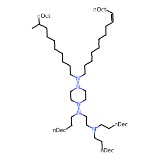 CCCCCCCC/C=C\CCCCCCCCN(CCCCCCCCC(C)CCCCCCCC)N1CCN(N(CCCCCCCCCCCC)CCN(CCCCCCCCCCCC)CCCCCCCCCCCC)CC1